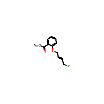 COC(=O)c1ccccc1OCC=CCBr